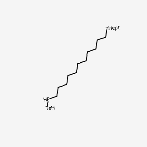 CCCCCCCCCCCCCCCCCCP[TeH]